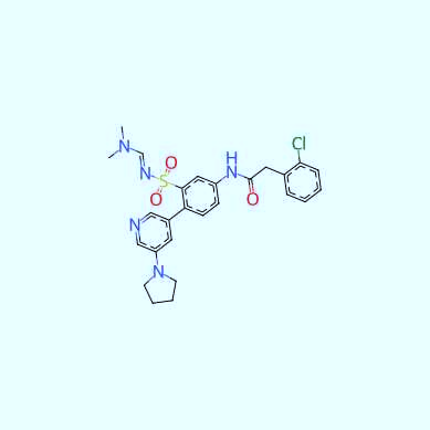 CN(C)/C=N/S(=O)(=O)c1cc(NC(=O)Cc2ccccc2Cl)ccc1-c1cncc(N2CCCC2)c1